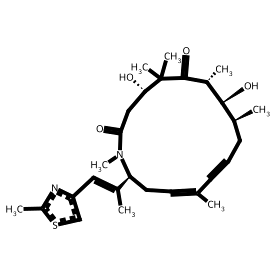 CC1=C/C[C@@H](/C(C)=C/c2csc(C)n2)N(C)C(=O)C[C@H](O)C(C)(C)C(=O)[C@H](C)[C@@H](O)[C@@H](C)C\C=C\1